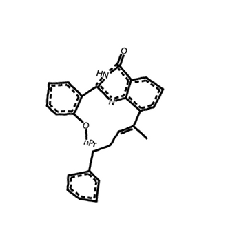 CCCOc1ccccc1-c1nc2c(C(C)=CCCc3ccccc3)cccc2c(=O)[nH]1